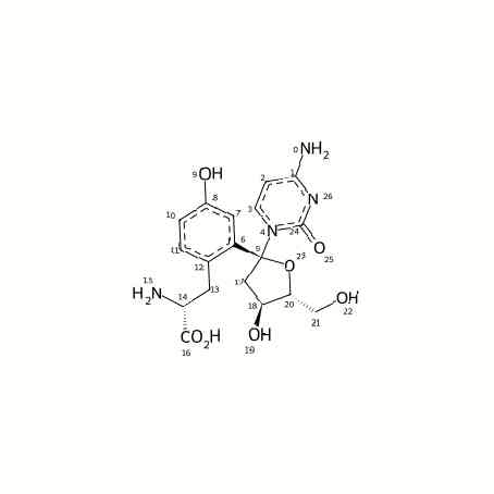 Nc1ccn([C@@]2(c3cc(O)ccc3C[C@@H](N)C(=O)O)C[C@H](O)[C@@H](CO)O2)c(=O)n1